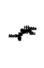 COCCC(c1ccc(-c2ccc(NC(=O)Nc3cc(C(C)(C)C)ccc3OC)c3ccccc23)cn1)N1CCOCC1